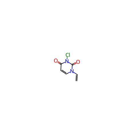 C=Cn1ccc(=O)n(Cl)c1=O